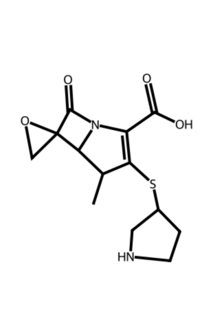 CC1C(SC2CCNC2)=C(C(=O)O)N2C(=O)C3(CO3)C12